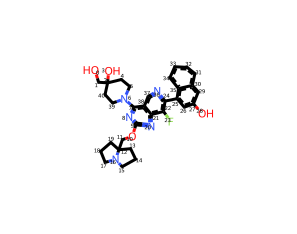 OCC1(O)CCN(c2nc(OCC34CCCN3CCC4)nc3c(F)c(-c4cc(O)cc5ccccc45)ncc23)CC1